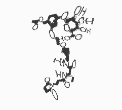 CC[C@H](NC(=O)CCN1C(=O)C=CC1=O)C(=O)NCCOCCOc1cc(O[C@@H]2O[C@H](C(=O)O)[C@@H](O)[C@H](O)[C@H]2O)ccc1COC(C)=O